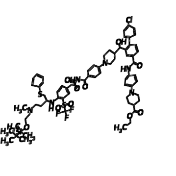 CCOC(=O)C1CCN(c2ccc(NC(=O)c3ccc(-c4ccc(Cl)cc4)c([C@H](O)C4CCN(c5ccc(C(=O)NS(=O)(=O)c6ccc(NC(CCN(C)CCO[Si](C)(C)C(C)(C)C)CSc7ccccc7)c(S(=O)(=O)C(F)(F)F)c6)cc5)CC4)c3)cc2)CC1